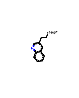 CCCCCCCCCc1cnc2ccccc2c1